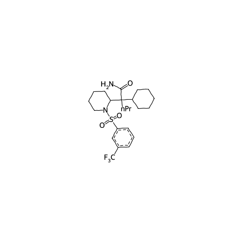 CCCC(C(N)=O)(C1CCCCC1)C1CCCCN1S(=O)(=O)c1cccc(C(F)(F)F)c1